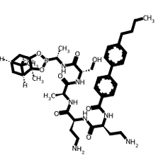 CCCCc1ccc(-c2ccc(C(=O)N[C@@H](CCN)C(=O)N[C@@H](CCN)C(=O)N[C@@H](C)C(=O)N[C@@H](CO)C(=O)N[C@@H](C)B3OC4C[C@@H]5C[C@@H](C5(C)C)[C@]4(C)O3)cc2)cc1